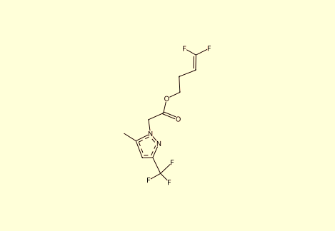 Cc1cc(C(F)(F)F)nn1CC(=O)OCCC=C(F)F